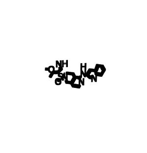 CO/C(C)=C(\C=N)[S+]([O-])N1CCc2c(ccnc2Nc2cnc3ccccc3c2)C1